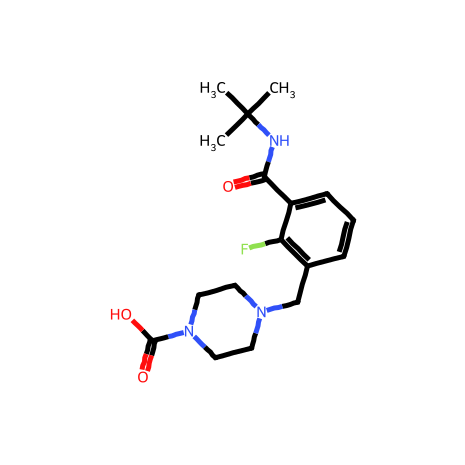 CC(C)(C)NC(=O)c1cccc(CN2CCN(C(=O)O)CC2)c1F